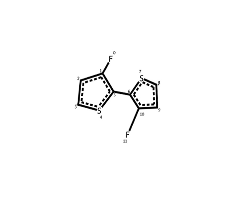 Fc1c[c]sc1-c1s[c]cc1F